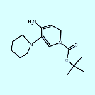 CC(C)(C)OC(=O)N1C=C(N2CCCCC2)C(N)=CC1